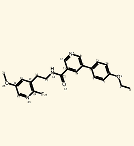 CCOc1ccc(-c2cncc(C(=O)NCCc3cc(OC)cnc3F)c2)cc1